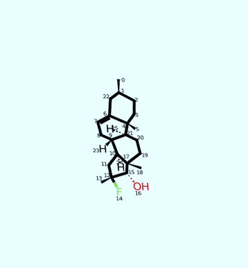 C[C@H]1CC[C@@]2(C)C(=CC[C@H]3[C@@H]4C[C@@](C)(F)[C@@H](O)[C@@]4(C)CC[C@@H]32)C1